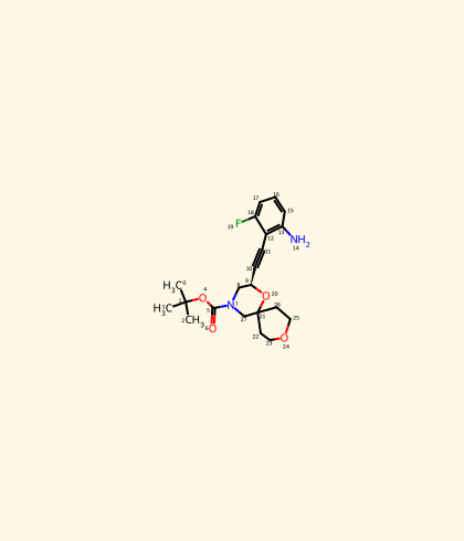 CC(C)(C)OC(=O)N1C[C@@H](C#Cc2c(N)cccc2F)OC2(CCOCC2)C1